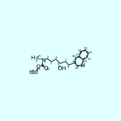 CN(CCC[C@@H](O)CCc1cnc2ccccc2c1)C(=O)OC(C)(C)C